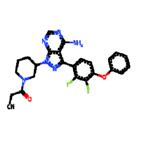 N#CCC(=O)N1CCCC(n2nc(-c3ccc(Oc4ccccc4)c(F)c3F)c3c(N)ncnc32)C1